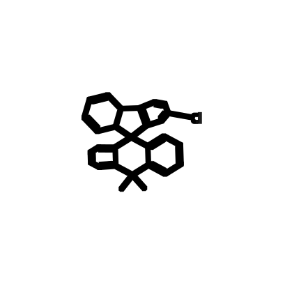 CC1(C)c2ccccc2C2(c3cc(Cl)ccc3C3C=CC=CC32)c2ccccc21